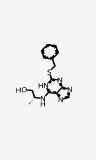 C[C@H](CO)Nc1[nH]c(SCc2ccccc2)nc2ncnc1-2